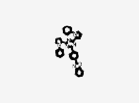 C1=CCCC(n2cccc2-c2nc(C3=CCCN3c3ccccc3)nc(-c3ccc(-c4nc5ccccc5o4)cc3)n2)=C1